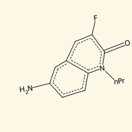 CCCn1c(=O)c(F)cc2cc(N)ccc21